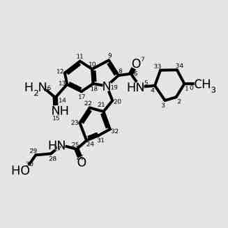 CC1CCC(NC(=O)c2cc3ccc(C(=N)N)cc3n2Cc2ccc(C(=O)NCCO)cc2)CC1